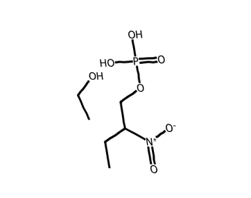 CCC(COP(=O)(O)O)[N+](=O)[O-].CCO